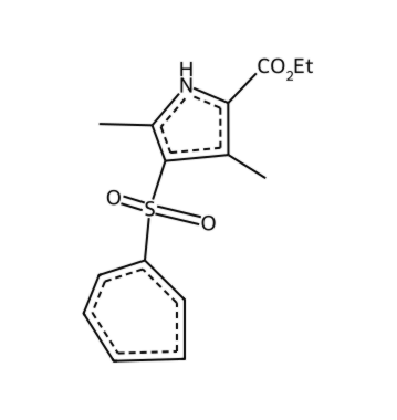 CCOC(=O)c1[nH]c(C)c(S(=O)(=O)c2ccccc2)c1C